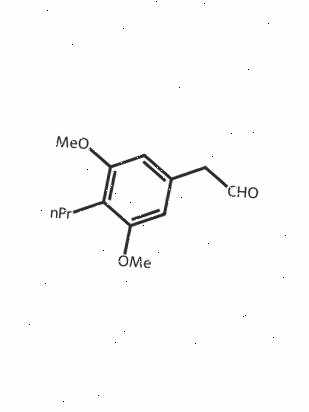 CCCc1c(OC)cc(CC=O)cc1OC